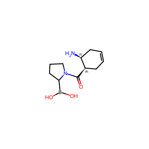 N[C@H]1CC=CC[C@H]1C(=O)N1CCCC1B(O)O